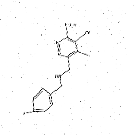 Cc1c(CNCc2ccc(F)cc2)cnc(C(=O)O)c1O